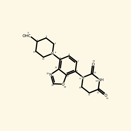 O=CC1CCN(c2ccc(N3CCC(=O)NC3=O)c3ocnc23)CC1